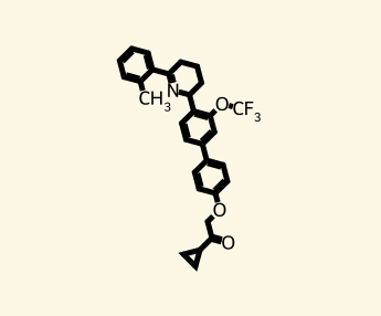 Cc1ccccc1C1=NC(c2ccc(-c3ccc(OCC(=O)C4CC4)cc3)cc2OC(F)(F)F)CCC1